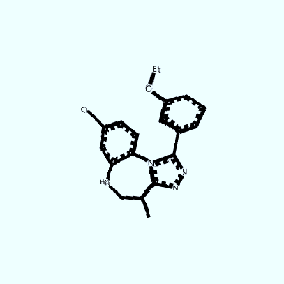 CCOc1cccc(-c2nnc3n2-c2ccc(Cl)cc2NCC3C)c1